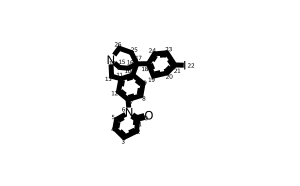 O=c1ccccn1-c1ccc2c(c1)CN1CCC2(c2ccc(I)cc2)CC1